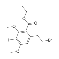 CCOC(=O)c1c(CCBr)cc(OC)c(I)c1OC